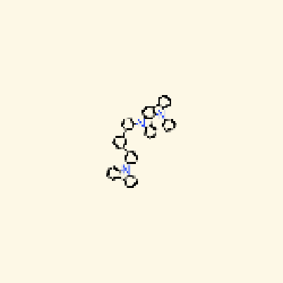 c1ccc(-n2c3ccccc3c3ccc4c(c5ccccc5n4-c4cccc(-c5cccc(-c6cccc(-n7c8ccccc8c8ccccc87)c6)c5)c4)c32)cc1